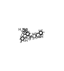 Cc1cccc(Nc2c(C(=O)N3CCC4(CC3)CNc3ccccc3C4)cnc(S(N)(=O)=O)c2Cl)c1